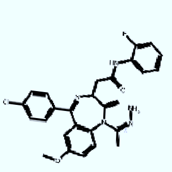 C=C1C(CC(=O)Nc2ccccc2F)N=C(c2ccc(Cl)cc2)c2cc(OC)ccc2N1/C(C)=N\N